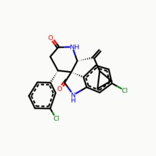 C=C(C1CC1)[C@H]1NC(=O)C[C@@H](c2cccc(Cl)c2)[C@]12C(=O)Nc1cc(Cl)ccc12